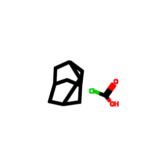 C1C2CC3CC1CC(C2)C3.O=C(O)Cl